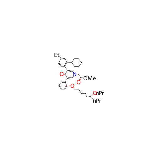 CCCOC(CCC)CCCCCOc1ccccc1-c1cn(CC(=O)OC)cc(-c2ccc(CC)cc2C2CCCCC2)c1=O